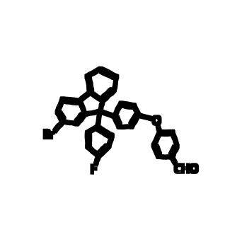 O=Cc1ccc(Oc2ccc(C3(c4ccc(F)cc4)c4ccccc4-c4ccc(Br)cc43)cc2)cc1